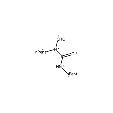 CCCCCNC(=O)N(C=O)CCCCC